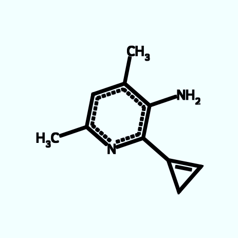 Cc1cc(C)c(N)c(C2=CC2)n1